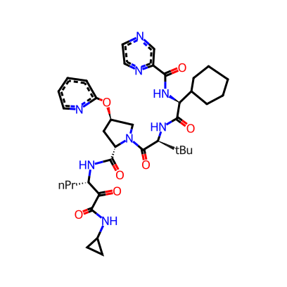 CCC[C@H](NC(=O)[C@@H]1C[C@@H](Oc2ccccn2)CN1C(=O)[C@@H](NC(=O)[C@@H](NC(=O)c1cnccn1)C1CCCCC1)C(C)(C)C)C(=O)C(=O)NC1CC1